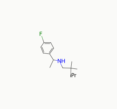 CC(NCC(C)(C)C(C)C)c1ccc(F)cc1